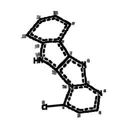 Clc1ccnc2nc3c4ccccc4[nH]c3n12